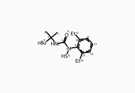 CCCCC(C)(C)NC(=O)N(S)c1c(CC)cccc1CC